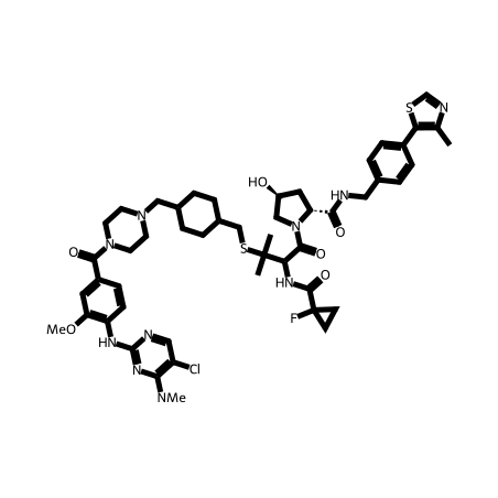 CNc1nc(Nc2ccc(C(=O)N3CCN(CC4CCC(CSC(C)(C)C(NC(=O)C5(F)CC5)C(=O)N5C[C@@H](O)C[C@@H]5C(=O)NCc5ccc(-c6scnc6C)cc5)CC4)CC3)cc2OC)ncc1Cl